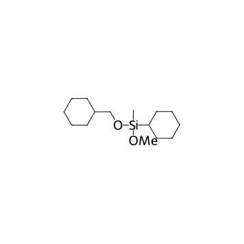 CO[Si](C)(OCC1CCCCC1)C1CCCCC1